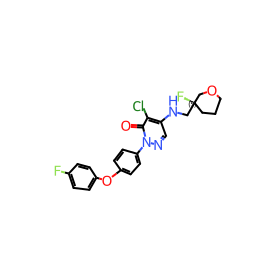 O=c1c(Cl)c(NC[C@@]2(F)CCCOC2)cnn1-c1ccc(Oc2ccc(F)cc2)cc1